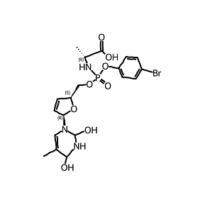 CC1=CN([C@H]2C=C[C@@H](COP(=O)(N[C@H](C)C(=O)O)Oc3ccc(Br)cc3)O2)C(O)NC1O